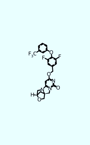 O=c1nc(OCc2cc(F)c(Oc3cccc(C(F)(F)F)c3)c(F)c2)cc2n1C[C@]13CO[C@H](CN21)C3